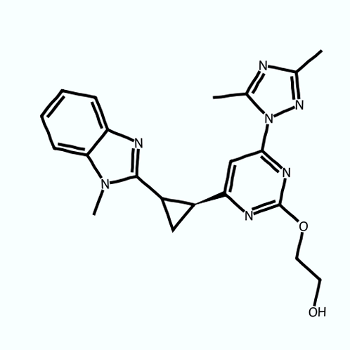 Cc1nc(C)n(-c2cc([C@H]3CC3c3nc4ccccc4n3C)nc(OCCO)n2)n1